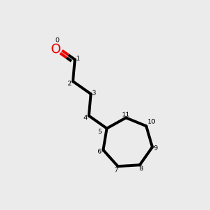 O=CCCCC1CCCCCC1